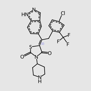 O=C1S/C(=C(/Cc2ccc(Cl)cc2C(F)(F)F)c2ccc3[nH]ncc3c2)C(=O)N1C1CCNCC1